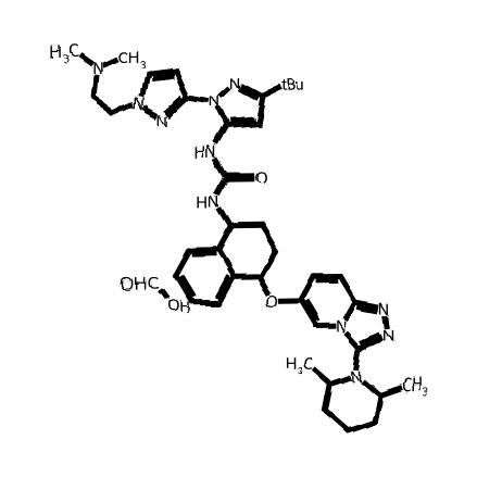 CC1CCCC(C)N1c1nnc2ccc(OC3CCC(NC(=O)Nc4cc(C(C)(C)C)nn4-c4ccn(CCN(C)C)n4)c4ccccc43)cn12.O=CO